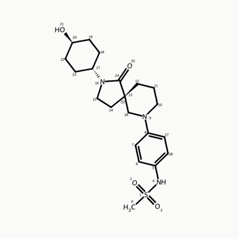 CS(=O)(=O)Nc1ccc(N2CCC[C@]3(CCN([C@H]4CC[C@H](O)CC4)C3=O)C2)cc1